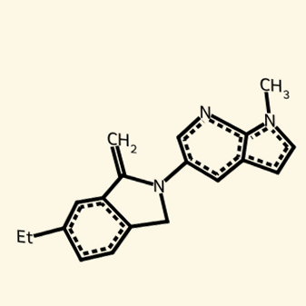 C=C1c2cc(CC)ccc2CN1c1cnc2c(ccn2C)c1